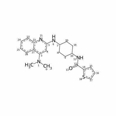 CN(C)c1cc(NC2CCC(NC(=O)c3cccs3)CC2)nc2ccccc12